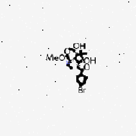 C/C=C(/C(=O)OC)[C@H]1[C@H](CC(=O)c2ccc(Br)cc2)[C@H](O)C(C)(C)[C@H]1C(C)O